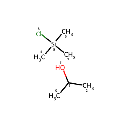 CC(C)O.C[Si](C)(C)Cl